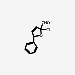 O=CC1(Cl)C=CC(c2ccccc2)O1